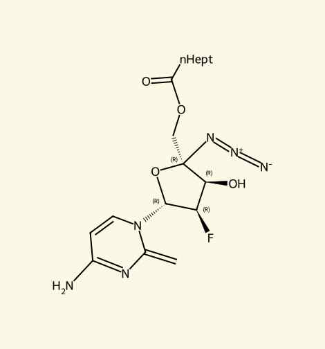 C=C1N=C(N)C=CN1[C@@H]1O[C@@](COC(=O)CCCCCCC)(N=[N+]=[N-])[C@@H](O)[C@H]1F